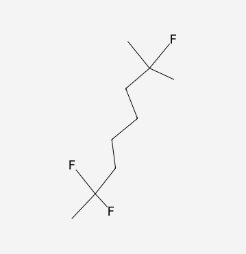 CC(C)(F)CCCCC(C)(F)F